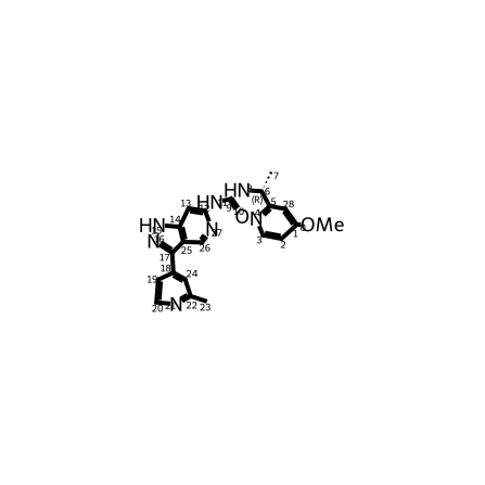 COc1ccnc([C@@H](C)NC(=O)Nc2cc3[nH]nc(-c4ccnc(C)c4)c3cn2)c1